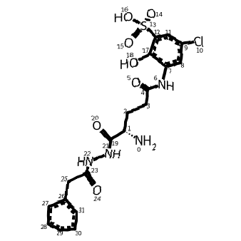 N[C@@H](CCC(=O)Nc1cc(Cl)cc(S(=O)(=O)O)c1O)C(=O)NNC(=O)Cc1ccccc1